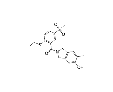 CCSc1ccc(S(C)(=O)=O)cc1C(=O)N1Cc2cc(C)c(O)cc2C1